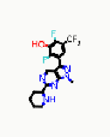 Cn1nc(-c2cc(C(F)(F)F)c(F)c(O)c2F)c2cnc(C3CCCCN3)nc21